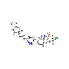 O=S(=O)(CC(F)(F)F)Nc1cccc(-c2ccc(OCCc3ccc(Cl)cc3)nn2)c1